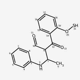 CC(Nc1ccccc1)C(C=O)C(=O)c1ccccc1OS